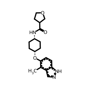 Cc1c(O[C@H]2CC[C@@H](NC(=O)C3CCOC3)CC2)ccc2[nH]ncc12